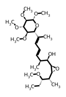 CC[C@H](OC)[C@@H](C)[C@H]1O[C@@H]1[C@H](O)[C@@H](C)/C=C/C=C(\C)[C@H]1O[C@@H](OC)[C@H](OC)[C@@H](OC)[C@@H]1OC